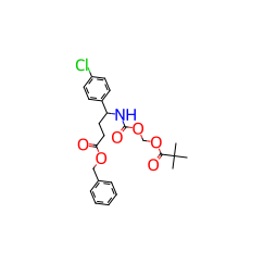 CC(C)(C)C(=O)OCOC(=O)NC(CCC(=O)OCc1ccccc1)c1ccc(Cl)cc1